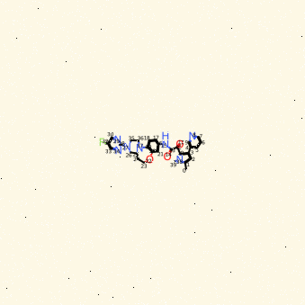 Cc1cc(-c2cccnc2)c(C(=O)C(=O)Nc2ccc3c(c2)OCCC2CN(c4ncc(F)cn4)CCN32)n1C